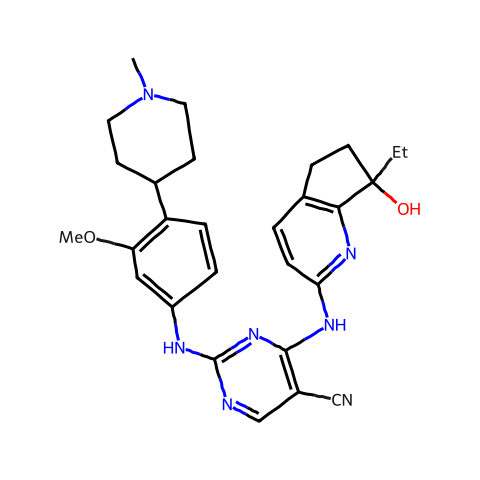 CCC1(O)CCc2ccc(Nc3nc(Nc4ccc(C5CCN(C)CC5)c(OC)c4)ncc3C#N)nc21